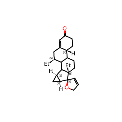 CC[C@H]1CC2=CC(=O)CC[C@@H]2C2CC[C@@]3(CC)C(C21)[C@@H]1C[C@@H]1[C@@]31C=CCO1